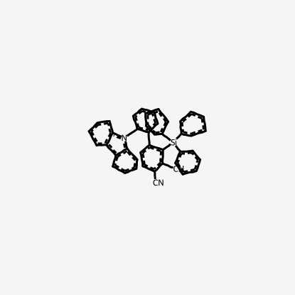 N#Cc1ccc(-c2ccccc2-n2c3ccccc3c3ccccc32)c([Si](c2ccccc2)(c2ccccc2)c2ccccc2)c1C#N